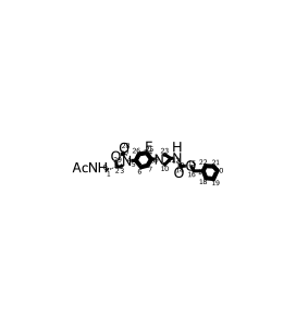 CC(=O)NC[C@H]1CN(c2ccc(N3CC(NC(=O)OCc4ccccc4)C3)c(F)c2)C(=O)O1